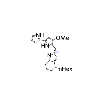 CCCCCCC1CCCC2=N/C(=C\c3[nH]c(-c4ccc[nH]4)cc3OC)C=C21